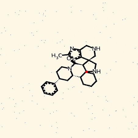 Cc1nc2c(s1)[C@]1(CNC2)CNC[C@H]1C(=O)N1CC[C@@H](c2ccccc2)C[C@H]1C1CCCCC1